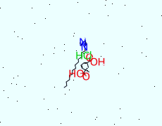 CC1(C(=O)O)C=CC=C(C(=O)O)C1.CCCCCCCCCCCCCCn1ccnc1.Cl